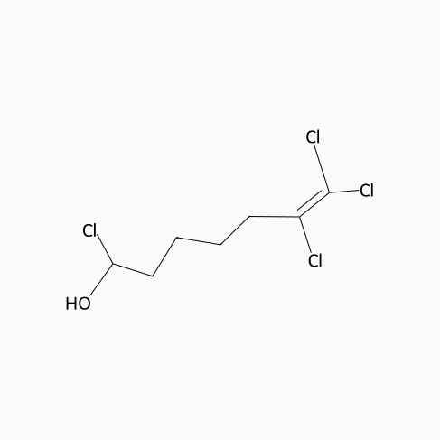 OC(Cl)CCCCC(Cl)=C(Cl)Cl